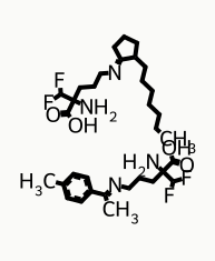 CC(=NCCCC(N)(C(=O)O)C(F)F)c1ccc(C)cc1.CCCCCCCC1CCCC1=NCCCC(N)(C(=O)O)C(F)F